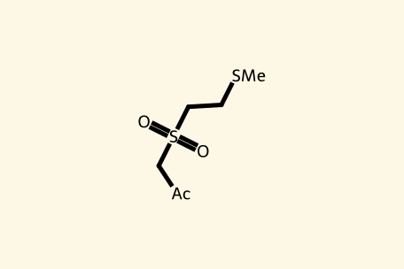 CSCCS(=O)(=O)CC(C)=O